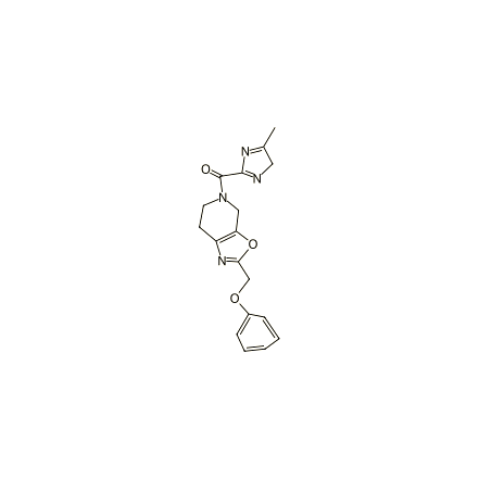 CC1=NC(C(=O)N2CCc3nc(COc4ccccc4)oc3C2)=NC1